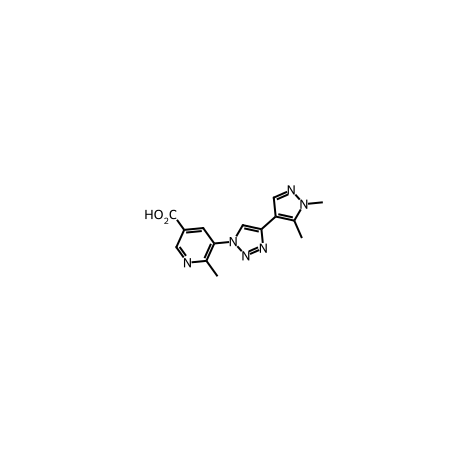 Cc1ncc(C(=O)O)cc1-n1cc(-c2cnn(C)c2C)nn1